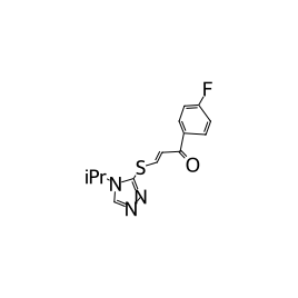 CC(C)n1cnnc1S/C=C/C(=O)c1ccc(F)cc1